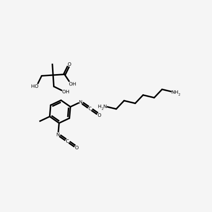 CC(CO)(CO)C(=O)O.Cc1ccc(N=C=O)cc1N=C=O.NCCCCCCN